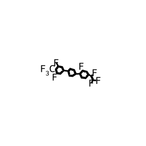 FC(F)=C(F)c1ccc(-c2ccc(-c3cc(F)c(C(F)(F)F)c(F)c3)cc2)c(F)c1